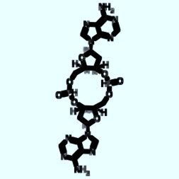 Nc1ncnc2c1ncn2[C@H]1C[C@@H]2O[PH](=O)OC[C@H]3O[C@@H](n4cnc5c(N)ncnc54)C[C@@H]3O[PH](=O)OC[C@H]2O1